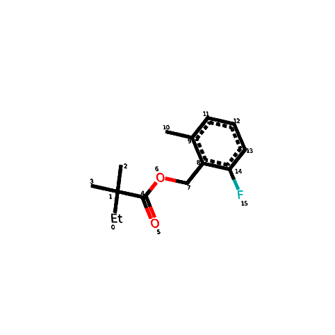 CCC(C)(C)C(=O)OCc1c(C)cccc1F